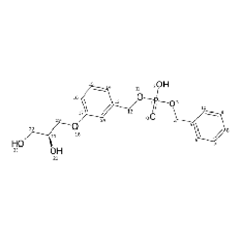 O=P(O)(OCc1ccccc1)OCc1cccc(OC[C@@H](O)CO)c1